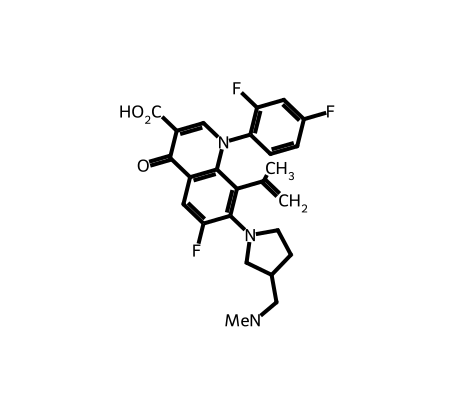 C=C(C)c1c(N2CCC(CNC)C2)c(F)cc2c(=O)c(C(=O)O)cn(-c3ccc(F)cc3F)c12